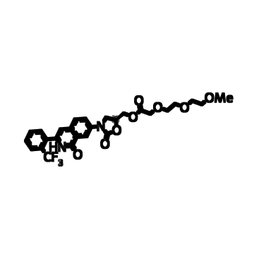 COCCOCCOCC(=O)OC[C@@H]1CN(c2ccc3cc(-c4ccccc4C(F)(F)F)[nH]c(=O)c3c2)C(=O)O1